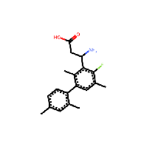 Cc1ccc(-c2cc(C)c(F)c(C(N)CC(=O)O)c2C)c(C)c1